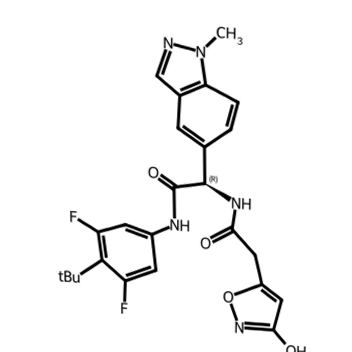 Cn1ncc2cc([C@@H](NC(=O)Cc3cc(O)no3)C(=O)Nc3cc(F)c(C(C)(C)C)c(F)c3)ccc21